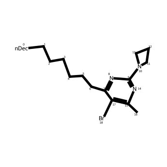 CCCCCCCCCCCCCCCCc1nc(N2CCC2)nc(C)c1Br